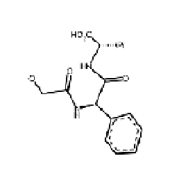 CC(C)[C@H](NC(=O)[C@H](NC(=O)C[O])c1ccccc1)C(=O)O